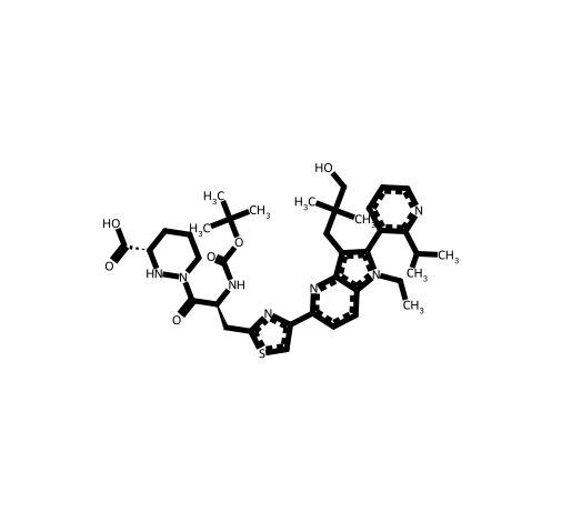 CCn1c(-c2cccnc2C(C)C)c(CC(C)(C)CO)c2nc(-c3csc(C[C@H](NC(=O)OC(C)(C)C)C(=O)N4CCC[C@@H](C(=O)O)N4)n3)ccc21